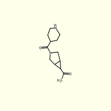 CC(=O)C1C2CN(C(=O)C3CCNCC3)CC21